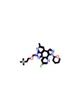 Cc1cc(-c2cnn(C3CCCCO3)c2-c2ccc(F)cn2)c2cnn(COCC[Si](C)(C)C)c2n1